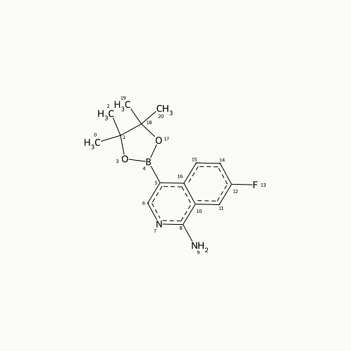 CC1(C)OB(c2cnc(N)c3cc(F)ccc23)OC1(C)C